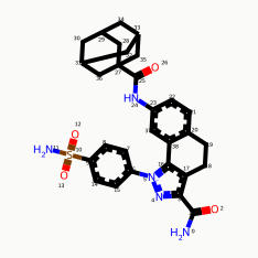 NC(=O)c1nn(-c2ccc(S(N)(=O)=O)cc2)c2c1CCc1ccc(NC(=O)C34CC5CC(CC(C5)C3)C4)cc1-2